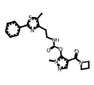 Cc1sc(-c2ccccc2)nc1CCNC(=O)Oc1c(C(=O)N2CCC2)cnn1C